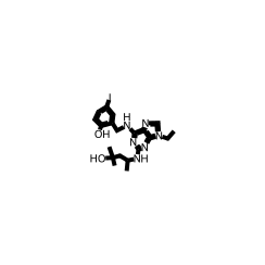 CCn1cnc2c(NCc3cc(I)ccc3O)nc(NC(C)CC(C)(C)O)nc21